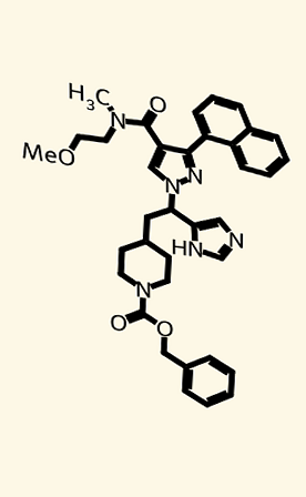 COCCN(C)C(=O)c1cn(C(CC2CCN(C(=O)OCc3ccccc3)CC2)c2cnc[nH]2)nc1-c1cccc2ccccc12